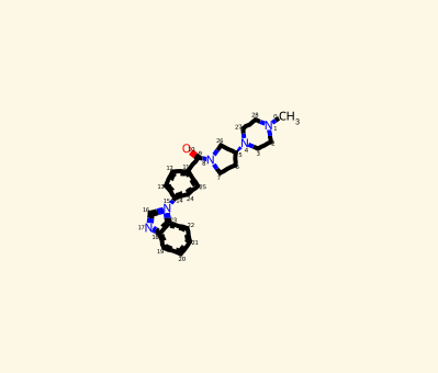 CN1CCN([C@H]2CCN(C(=O)c3ccc(-n4cnc5ccccc54)cc3)C2)CC1